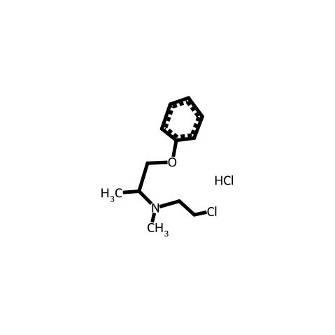 CC(COc1ccccc1)N(C)CCCl.Cl